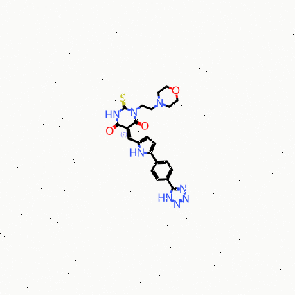 O=C1NC(=S)N(CCN2CCOCC2)C(=O)/C1=C\c1ccc(-c2ccc(-c3nnn[nH]3)cc2)[nH]1